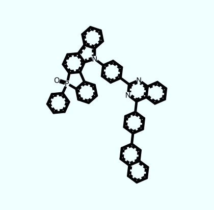 O=P1(c2ccccc2)c2ccccc2-c2c1ccc1c3ccccc3n(-c3ccc(-c4nc(-c5ccc(-c6ccc7ccccc7c6)cc5)c5ccccc5n4)cc3)c21